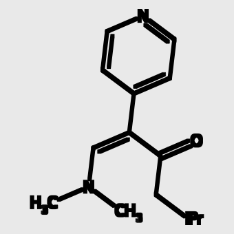 CC(C)CC(=O)C(=CN(C)C)c1ccncc1